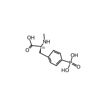 CN[C@@H](Cc1ccc(P(=O)(O)O)cc1)C(=O)O